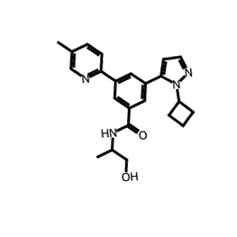 Cc1ccc(-c2cc(C(=O)NC(C)CO)cc(-c3ccnn3C3CCC3)c2)nc1